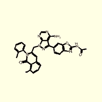 CC(=O)Nc1nc2ccc(-c3nn(Cc4cc5cccc(C)c5c(=O)n4-c4ccccc4C)c4ncnc(N)c34)cc2o1